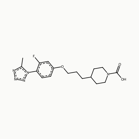 Cc1nnnn1-c1ccc(OCCCC2CCN(C(=O)O)CC2)cc1F